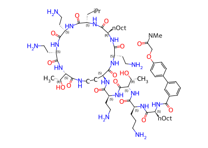 CCCCCCCC[C@H](NC(=O)c1cccc(-c2ccc(OCC(=O)NC)cc2)c1)C(=O)N[C@@H](CCCN)C(=O)N[C@H](C(=O)N[C@@H](CCN)C(=O)N[C@H]1CCNC(=O)[C@H]([C@@H](C)O)NC(=O)[C@H](CCN)NC(=O)[C@H](CCN)NC(=O)[C@H](CC(C)C)NC(=O)[C@@H](CCCCCCCC)NC(=O)[C@H](CCN)NC1=O)[C@@H](C)O